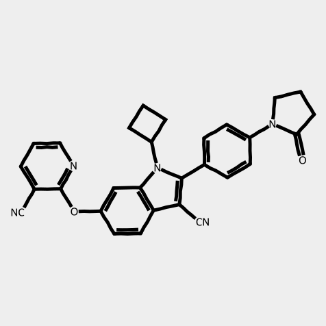 N#Cc1cccnc1Oc1ccc2c(C#N)c(-c3ccc(N4CCCC4=O)cc3)n(C3CCC3)c2c1